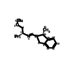 CC(C)[C@H](COC(C)(C)C)N=CN1Cc2ccccc2[C@H]1C